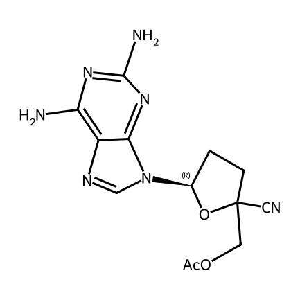 CC(=O)OCC1(C#N)CC[C@H](n2cnc3c(N)nc(N)nc32)O1